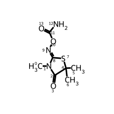 CN1C(=O)C(C)(C)SC1=NOC(N)=O